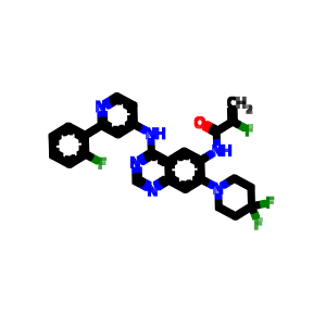 C=C(F)C(=O)Nc1cc2c(Nc3ccnc(-c4ccccc4F)c3)ncnc2cc1N1CCC(F)(F)CC1